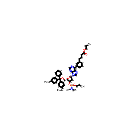 COc1ccc(C(OC[C@H]2O[C@@H](n3cnc4c(-c5cccc(CCCC(=O)OCCC#N)c5)ncnc43)C[C@@H]2OP(OCCC#N)N(C(C)C)C(C)C)(c2ccccc2)c2ccc(OC)cc2)cc1